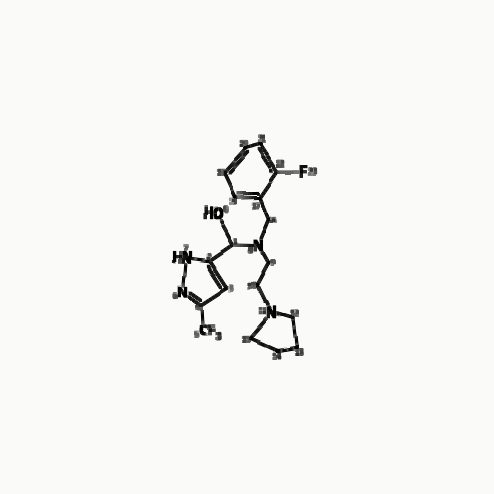 OC(c1cc(C(F)(F)F)n[nH]1)N(CCN1CCCC1)Cc1ccccc1F